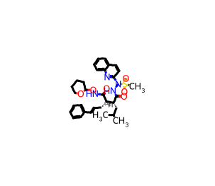 CC(C)C[C@@H](C(=O)NN(c1ccc2ccccc2n1)S(C)(=O)=O)[C@H](CC=Cc1ccccc1)C(=O)NOC1CCCCO1